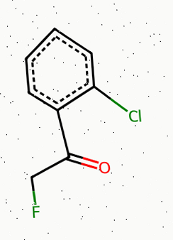 O=C(CF)c1ccccc1Cl